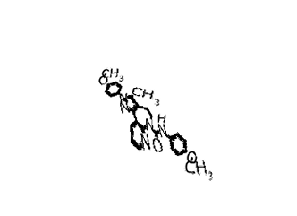 COc1ccc(NC(=O)N2CCc3c(nn(-c4ccc(OC)cc4)c3C)-c3cccnc32)cc1